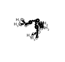 COCCN(CCOC)C(=O)COc1ccc(CCC[N+]2(CCCc3ccc(OCC(=O)N(CCOC)CCOC)cc3)CCC[C@H](NC(=O)c3nc(Cl)c(N)nc3N)C2)cc1